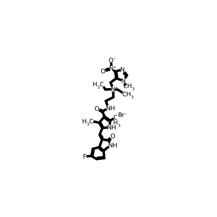 CC[N+](CC)(CCNC(=O)c1c(C)[nH]c(/C=C2\C(=O)Nc3ccc(F)cc32)c1C)Cc1c([N+](=O)[O-])ncn1C.[Br-]